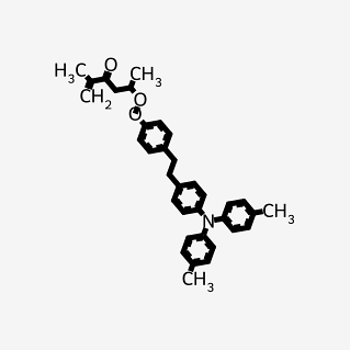 C=C(C)C(=O)CC(C)OOc1ccc(CCc2ccc(N(c3ccc(C)cc3)c3ccc(C)cc3)cc2)cc1